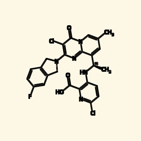 Cc1cc([C@@H](C)Nc2ccc(Cl)nc2C(=O)O)c2nc(N3Cc4ccc(F)cc4C3)c(Cl)c(=O)n2c1